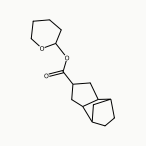 O=C(OC1CCCCO1)C1CC2C3CCC(C3)C2C1